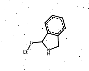 CCOC1NCc2ccccc21